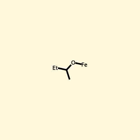 CCC(C)[O][Fe]